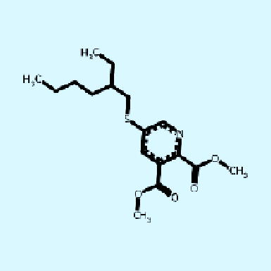 CCCCC(CC)CSc1cnc(C(=O)OC)c(C(=O)OC)c1